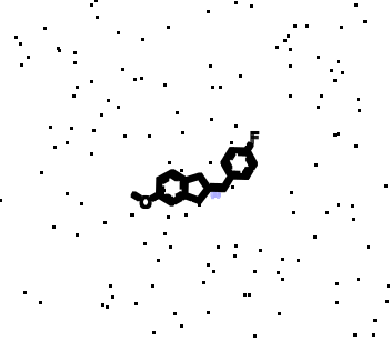 COc1ccc2c(c1)C/C(=C/c1ccc(F)cc1)C2